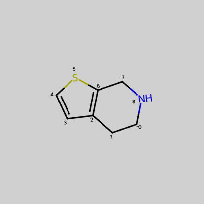 [C]1Cc2ccsc2CN1